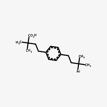 CC(=O)C(C)(C)CCc1ccc(CCC(C)(C)C(=O)O)cc1